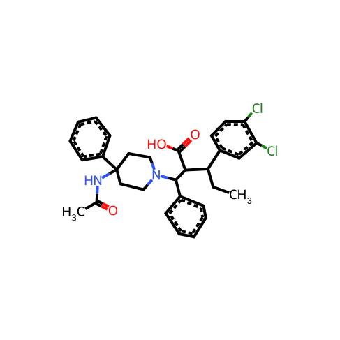 CCC(c1ccc(Cl)c(Cl)c1)C(C(=O)O)C(c1ccccc1)N1CCC(NC(C)=O)(c2ccccc2)CC1